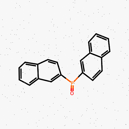 O=[P](c1ccc2ccccc2c1)c1ccc2ccccc2c1